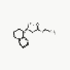 CCOC(=O)CN(C)[C@@H]1CCCc2cccnc21